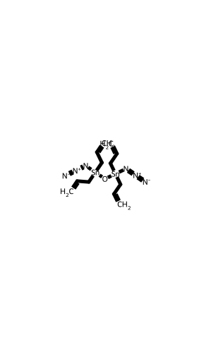 C=C[CH2][Sn]([CH2]C=C)([N]=[N+]=[N-])[O][Sn]([CH2]C=C)([CH2]C=C)[N]=[N+]=[N-]